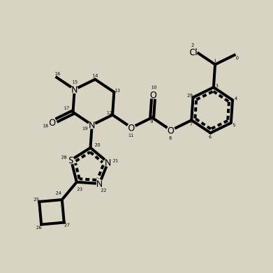 CC(Cl)c1cccc(OC(=O)OC2CCN(C)C(=O)N2c2nnc(C3CCC3)s2)c1